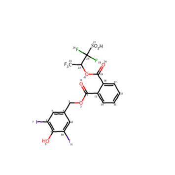 O=C(OCc1cc(I)c(O)c(I)c1)c1ccccc1C(=O)OC(C(F)(F)F)C(F)(F)S(=O)(=O)O